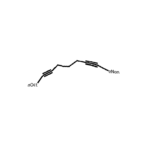 CCCCCCCCC#CCC[CH]C#CCCCCCCCCC